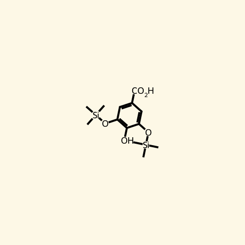 C[Si](C)(C)Oc1cc(C(=O)O)cc(O[Si](C)(C)C)c1O